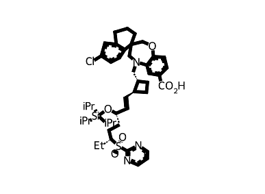 CC[C@H](CC[C@@H](/C=C/[C@@H]1CC[C@H]1CN1CC2(CCCc3cc(Cl)ccc32)COc2ccc(C(=O)O)cc21)O[Si](C(C)C)(C(C)C)C(C)C)S(=O)(=O)c1ncccn1